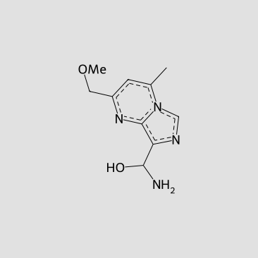 COCc1cc(C)n2cnc(C(N)O)c2n1